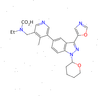 CCN(Cc1cncc(-c2ccc3c(c2)c(-c2cnco2)nn3C2CCCCO2)c1C)C(=O)O